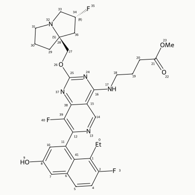 CCc1c(F)ccc2cc(O)cc(-c3ncc4c(NCCCC(=O)OC)nc(OC[C@@]56CCCN5C[C@H](F)C6)nc4c3F)c12